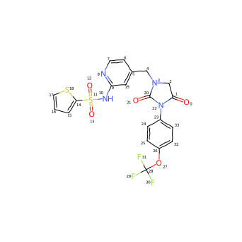 O=C1CN(Cc2ccnc(NS(=O)(=O)c3cccs3)c2)C(=O)N1c1ccc(OC(F)(F)F)cc1